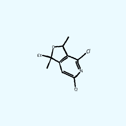 CCC1(C)OC(C)c2c1cc(Cl)nc2Cl